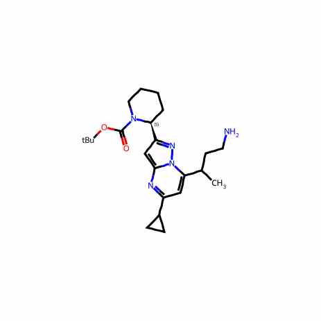 CC(CCN)c1cc(C2CC2)nc2cc([C@@H]3CCCCN3C(=O)OC(C)(C)C)nn12